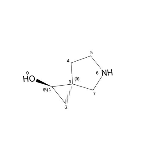 O[C@@H]1C[C@@]12CCNC2